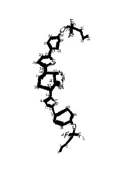 CCCC(F)(F)Oc1ccc(-c2ccc(-c3ccc(-c4ccc(-c5ccc(OC(F)(F)CCC)cc5)s4)c4nsnc34)s2)cc1